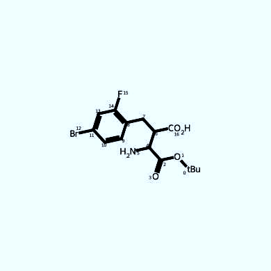 CC(C)(C)OC(=O)C(N)C(Cc1ccc(Br)cc1F)C(=O)O